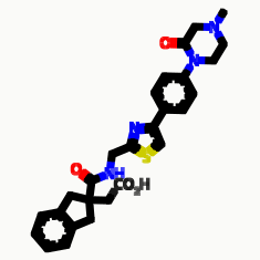 CN1CCN(c2ccc(-c3csc(CNC(=O)C4(CC(=O)O)Cc5ccccc5C4)n3)cc2)C(=O)C1